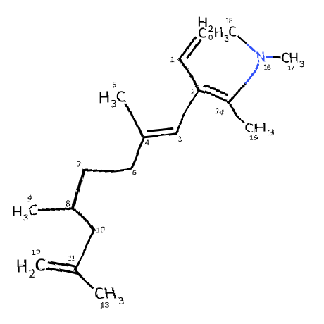 C=CC(/C=C(\C)CCC(C)CC(=C)C)=C(/C)N(C)C